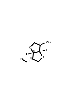 CO[C@@H]1CO[C@@H]2[C@@H](CO)CO[C@@H]21